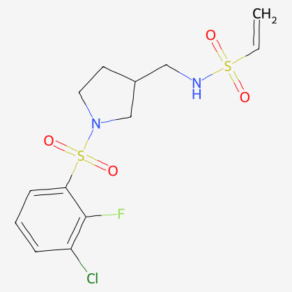 C=CS(=O)(=O)NCC1CCN(S(=O)(=O)c2cccc(Cl)c2F)C1